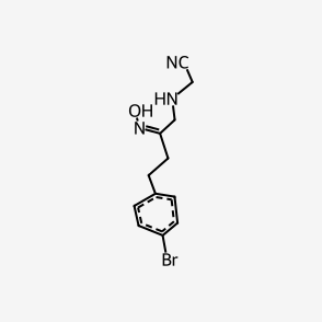 N#CCNCC(CCc1ccc(Br)cc1)=NO